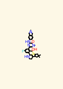 CN1Cc2ccc(Nc3nc(-c4cc(F)cc(C5NCCc6c5sc5c6CC(C)(C)C5)c4CO)cn(C)c3=O)cc2C1